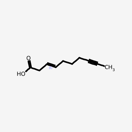 CC#CCCC/C=C/CC(=O)O